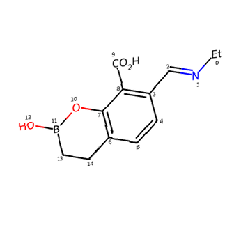 CC/N=C/c1ccc2c(c1C(=O)O)OB(O)CC2